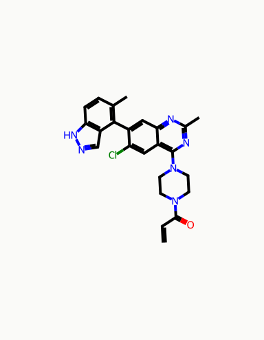 C=CC(=O)N1CCN(c2nc(C)nc3cc(-c4c(C)ccc5[nH]ncc45)c(Cl)cc23)CC1